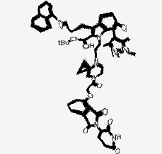 Cc1nn(C)c(C)c1-c1c(Cl)ccc2c(CCCOc3cccc4ccccc34)c(C(O)OC(C)(C)C)n(CCN3CCN(C(=O)COc4cccc5c4C(=O)N(C4CCC(=O)NC4=O)C5=O)CC34CC4)c12